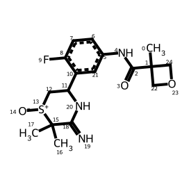 CC1(C(=O)Nc2ccc(F)c(C3C[S+]([O-])C(C)(C)C(=N)N3)c2)COC1